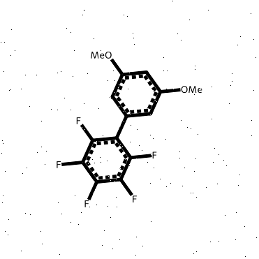 COc1cc(OC)cc(-c2c(F)c(F)c(F)c(F)c2F)c1